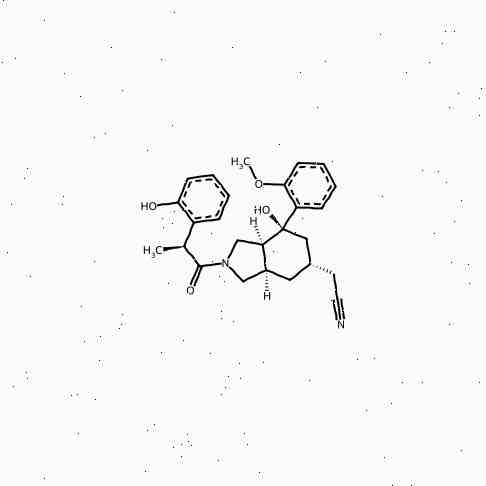 COc1ccccc1[C@]1(O)C[C@H](CC#N)C[C@H]2CN(C(=O)[C@@H](C)c3ccccc3O)C[C@H]21